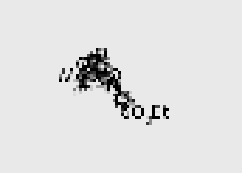 CCOC(=O)C1CCC(CNC(=O)O[C@@H]2CC[C@]3(CO3)[C@@H](C3(C)O[C@@H]3CC=C(C)C)[C@@H]2OC)CC1